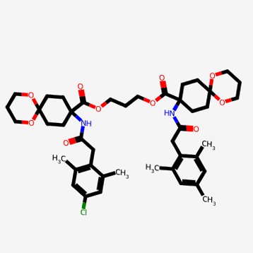 Cc1cc(C)c(CC(=O)NC2(C(=O)OCCCOC(=O)C3(NC(=O)Cc4c(C)cc(Cl)cc4C)CCC4(CC3)OCCCO4)CCC3(CC2)OCCCO3)c(C)c1